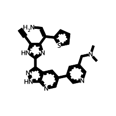 C#Cc1[nH]c(-c2n[nH]c3ncc(-c4cncc(CN(C)C)c4)cc23)nc1/C(=C\N)c1cccs1